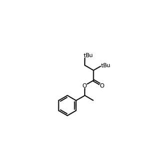 CC(OC(=O)C(CC(C)(C)C)C(C)(C)C)c1ccccc1